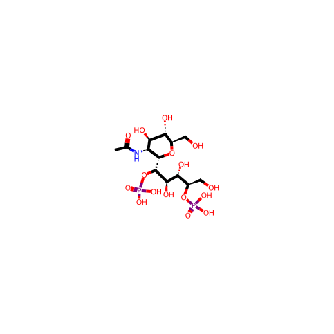 CC(=O)N[C@@H]1[C@@H](O)[C@H](O)[C@@H](CO)O[C@@H]1C(OP(=O)(O)O)[C@H](O)[C@H](O)[C@@H](CO)OP(=O)(O)O